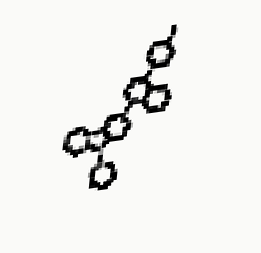 Fc1ccc(-c2ccc(-c3ccc4c(c3)c3ccccc3n4-c3ccccc3)c3ccccc23)cc1